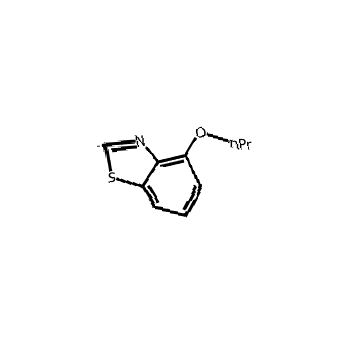 CCCOc1cccc2s[c]nc12